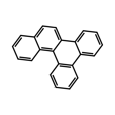 [c]1[c]c2c(cc1)c1ccccc1c1ccc3ccccc3c21